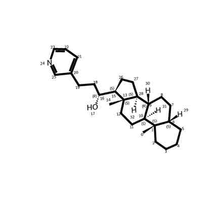 C[C@]12CCCC[C@H]1CC[C@@H]1[C@@H]2CC[C@]2(C)[C@@H]([C@H](O)CCc3cccnc3)CC[C@@H]12